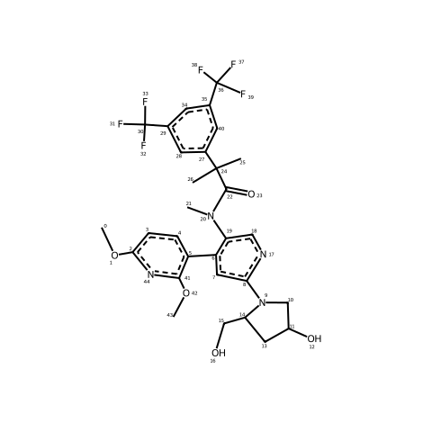 COc1ccc(-c2cc(N3CC(O)CC3CO)ncc2N(C)C(=O)C(C)(C)c2cc(C(F)(F)F)cc(C(F)(F)F)c2)c(OC)n1